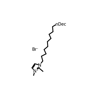 CCCCCCCCCCCCCCCCCCCCn1cc[n+](C)c1C.[Br-]